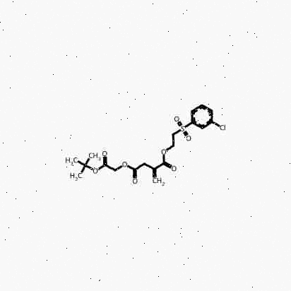 C=C(CC(=O)OCC(=O)OC(C)(C)C)C(=O)OCCS(=O)(=O)c1cccc(Cl)c1